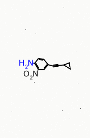 Nc1ccc(C#CC2CC2)cc1[N+](=O)[O-]